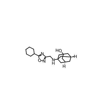 OC12C[C@H]3C[C@@H](C1)CC(NCc1noc(C4CCCCC4)n1)(C3)C2